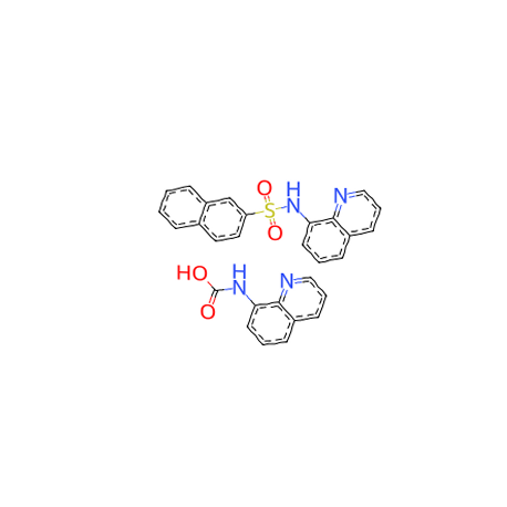 O=C(O)Nc1cccc2cccnc12.O=S(=O)(Nc1cccc2cccnc12)c1ccc2ccccc2c1